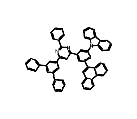 c1ccc(-c2cc(-c3ccccc3)cc(-c3cc(-c4cc(-c5cc6ccccc6c6ccccc56)cc(-n5c6ccccc6c6ccccc65)c4)nc(-c4ccccc4)n3)c2)cc1